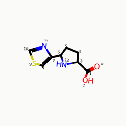 O=C(O)C1CCC(c2cscn2)N1